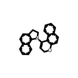 C1=C(N2CCc3ccc4ccccc4c32)c2c(ccc3ccccc23)OC1